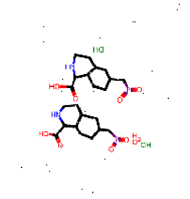 Cl.Cl.O.O=C(O)C1NCCC2CC(CP(=O)=O)CCC21.O=C(O)C1NCCC2CC(CP(=O)=O)CCC21